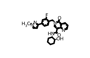 Cn1ccc(-c2ccc(Cn3cc(C(=O)N[C@H]4CCCC[C@@H]4O)c4ncccc4c3=O)c(F)c2)n1